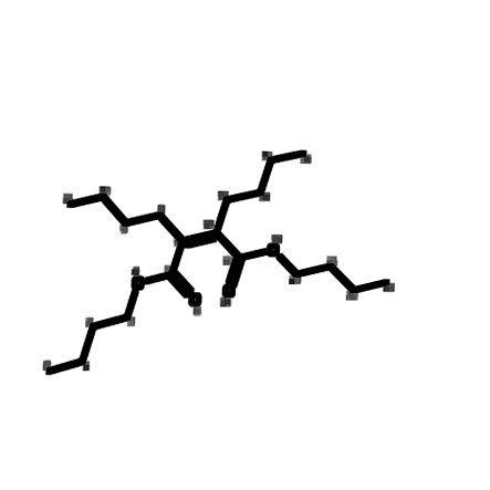 CCCCOC(=O)/C(CCCC)=C(/CCCC)C(=O)OCCCC